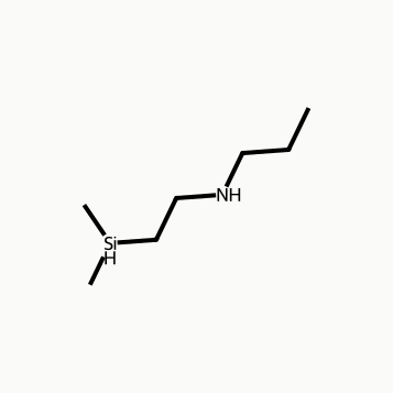 CCCNCC[SiH](C)C